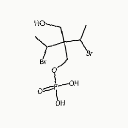 CC(Br)C(CO)(COP(=O)(O)O)C(C)Br